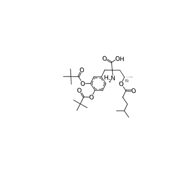 CC(C)CCC(=O)O[C@@H](C)CC(N)(Cc1ccc(OC(=O)C(C)(C)C)c(OC(=O)C(C)(C)C)c1)C(=O)O